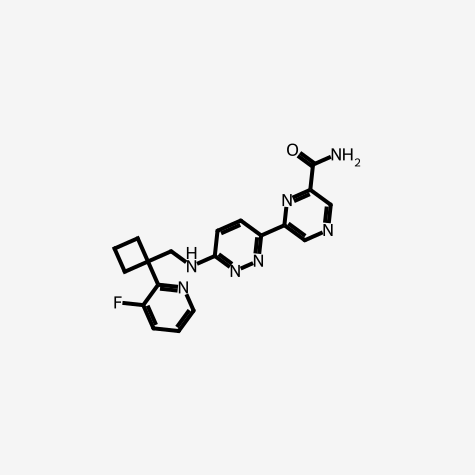 NC(=O)c1cncc(-c2ccc(NCC3(c4ncccc4F)CCC3)nn2)n1